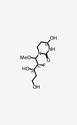 COC([C@@H](F)[C@H](O)CCO)N1CC[C@@H](O)NC1=O